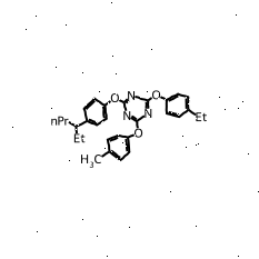 CCCC(CC)c1ccc(Oc2nc(Oc3ccc(C)cc3)nc(Oc3ccc(CC)cc3)n2)cc1